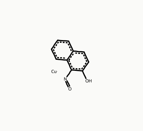 O=Nc1c(O)ccc2ccccc12.[Cu]